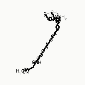 CCCCc1nc2c(N)nc3cc(C4CCN(CCOCCOCCOCCOCCOCCOCCOCCOCCNC(=O)CCCC#Cc5cnc(SC)nc5)CC4)sc3c2n1CC1CCN(CCOC)CC1